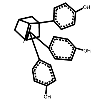 Oc1ccc(C23CC4CC(C2)C(c2ccc(O)cc2)(c2ccc(O)cc2)C=C43)cc1